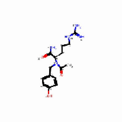 CC(=O)N(Cc1ccc(O)cc1)[C@H](CCCNC(=N)N)C(N)=O